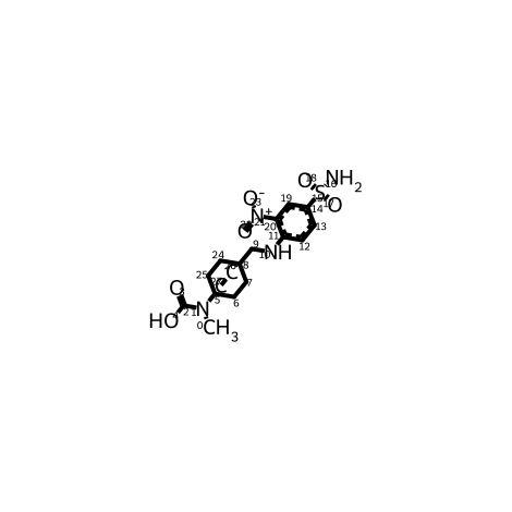 CN(C(=O)O)C12CCC(CNc3ccc(S(N)(=O)=O)cc3[N+](=O)[O-])(CC1)CC2